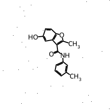 Cc1cccc(NC(=O)c2c(C)oc3ccc(O)cc23)c1